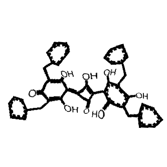 O=C1C(Cc2ccccc2)=C(O)C(=C2C(=O)C(c3c(O)c(Cc4ccccc4)c(O)c(Cc4ccccc4)c3O)=C2O)C(O)=C1Cc1ccccc1